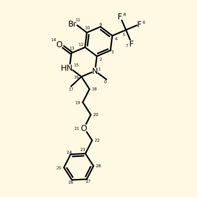 CN1c2cc(C(F)(F)F)cc(Br)c2C(=O)NC1(C)CCCOCc1ccccc1